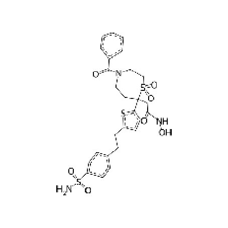 NS(=O)(=O)c1ccc(CCc2ccc(C3(CC(=O)NO)CCN(C(=O)c4ccccc4)CCS3(=O)=O)s2)cc1